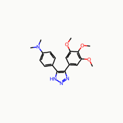 COc1cc(-c2nn[nH]c2-c2ccc(N(C)C)cc2)cc(OC)c1OC